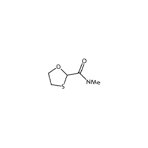 CNC(=O)C1OCCS1